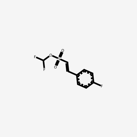 O=S(=O)(C=Cc1ccc(F)cc1)OC(F)F